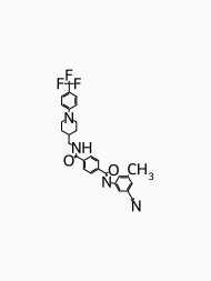 Cc1cc(C#N)cc2nc(-c3ccc(C(=O)NCC4CCN(c5ccc(C(F)(F)F)cc5)CC4)cc3)oc12